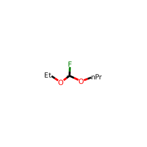 CCCO[C](F)OCC